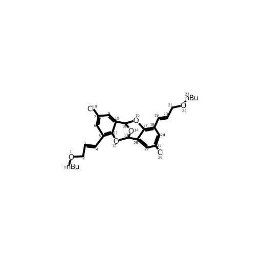 CCCCOCC=Cc1cc(Cl)cc2c1OC1OC2Oc2c(C=CCOCCCC)cc(Cl)cc21